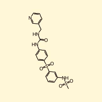 CS(=O)(=O)Nc1cccc(S(=O)(=O)c2ccc(NC(=O)NCc3cccnc3)cc2)c1